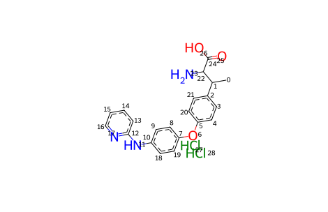 CC(c1ccc(Oc2ccc(Nc3ccccn3)cc2)cc1)C(N)C(=O)O.Cl.Cl